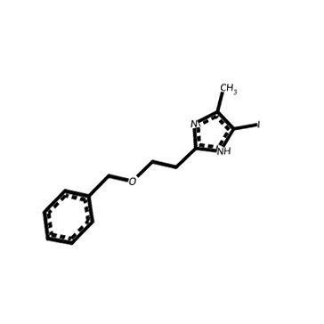 Cc1nc(CCOCc2ccccc2)[nH]c1I